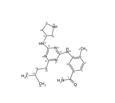 Cc1ccc(C(N)=O)cc1Nc1nc(NC2CCNC2)nc(SCC(C)C)n1